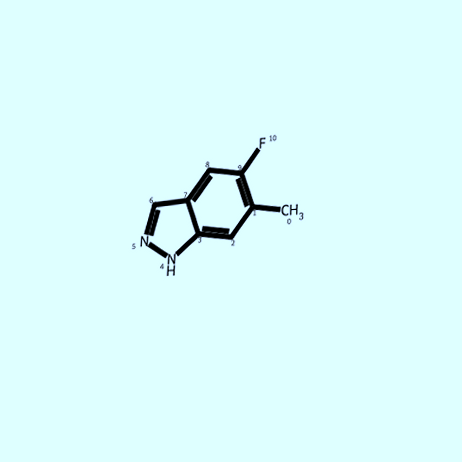 Cc1cc2[nH]ncc2cc1F